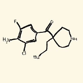 CC(C)(C)CCC1(C(=O)c2cc(F)c(N)c(Cl)c2)CCNCC1